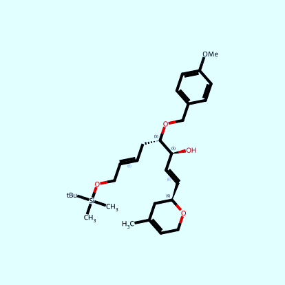 COc1ccc(CO[C@@H](C/C=C/CO[Si](C)(C)C(C)(C)C)[C@@H](O)/C=C/[C@@H]2CC(C)=CCO2)cc1